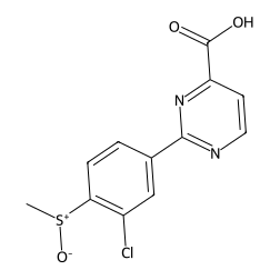 C[S+]([O-])c1ccc(-c2nccc(C(=O)O)n2)cc1Cl